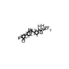 O=C(NCC(F)(F)F)Nc1cccc(-c2cnc3cc(-c4ccc(F)c(Cl)c4)ccn23)c1